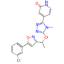 CC(Oc1nnc(-c2cc[nH]c(=O)c2)n1C)c1cc(-c2cccc(Cl)c2)on1